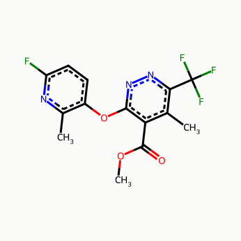 COC(=O)c1c(Oc2ccc(F)nc2C)nnc(C(F)(F)F)c1C